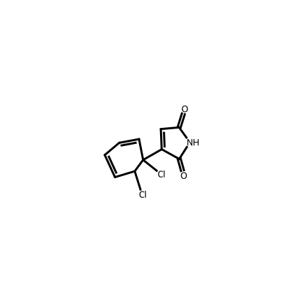 O=C1C=C(C2(Cl)C=CC=CC2Cl)C(=O)N1